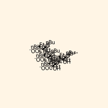 CCCCOC(CC)(CC)C(O)(OCCCC)C(=O)[O-].CCCCOC(CC)(CC)C(O)(OCCCC)C(=O)[O-].CCCCOC(CC)(CC)C(O)(OCCCC)C(=O)[O-].CCCCOC(CC)(CC)C(O)(OCCCC)C(=O)[O-].[Zr+4]